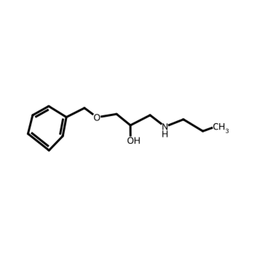 CCCNCC(O)COCc1ccccc1